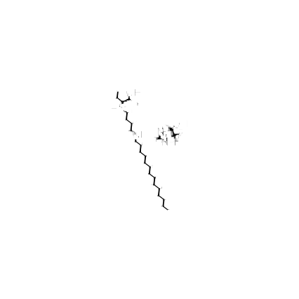 CCCCCCCCCCCCCCNCCCCNC(CC)C(=O)O.NC(N)=O.O=C(O)C(F)(F)F